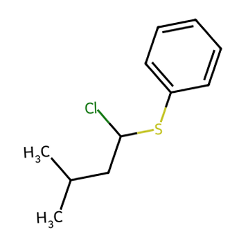 CC(C)CC(Cl)Sc1ccccc1